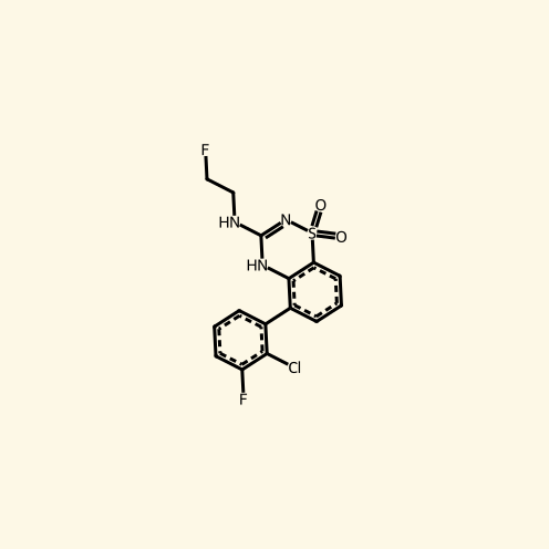 O=S1(=O)N=C(NCCF)Nc2c(-c3cccc(F)c3Cl)cccc21